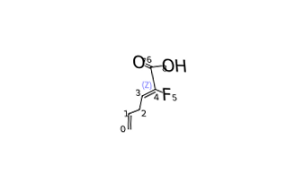 C=CC/C=C(\F)C(=O)O